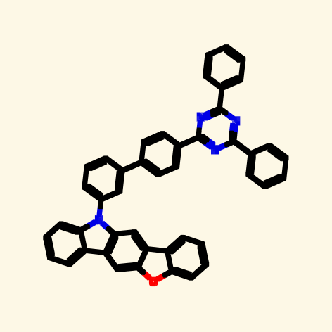 c1ccc(-c2nc(-c3ccccc3)nc(-c3ccc(-c4cccc(-n5c6ccccc6c6cc7oc8ccccc8c7cc65)c4)cc3)n2)cc1